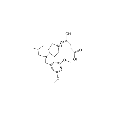 COc1cc(CN(CC(C)C)C2CCNCC2)cc(OC)c1.O=C(O)/C=C/C(=O)O